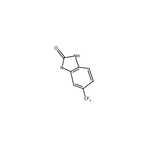 O=C1[N]c2cc(C(F)(F)F)ccc2N1